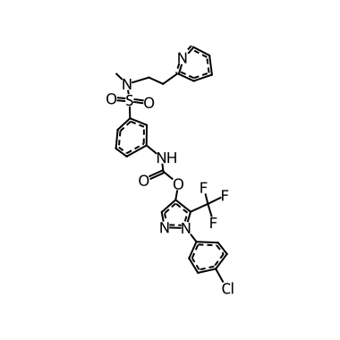 CN(CCc1ccccn1)S(=O)(=O)c1cccc(NC(=O)Oc2cnn(-c3ccc(Cl)cc3)c2C(F)(F)F)c1